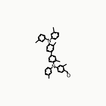 Cc1cccc(N(c2cccc(C)c2)c2ccc(-c3ccc(N(c4cccc(C)c4)c4ccc(C=O)c(C)c4)c(C)c3)cc2C)c1